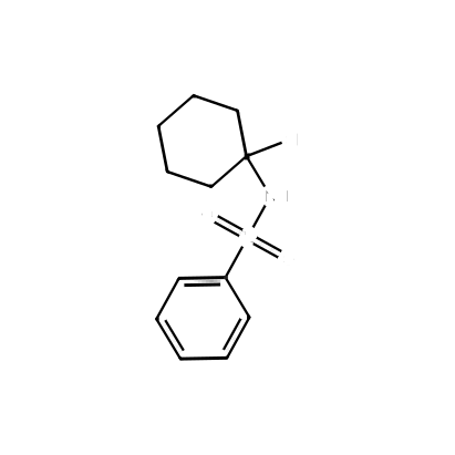 O=S(=O)(NC1(Cl)CCCCC1)c1ccccc1